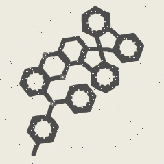 Cc1ccc(N(c2ccccc2)c2cccc3c2OC2=C(CCC4=C2c2ccccc2C42c4ccccc4-c4ccccc42)O3)cc1